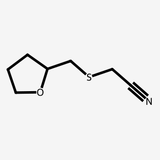 N#CCSCC1CCCO1